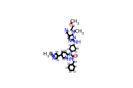 COCCN(C)c1nc(N[C@H]2CC[C@H](N(C(=O)NCc3ccccc3)c3ccc(-c4cnn(C)c4)cn3)CC2)ncc1C#N